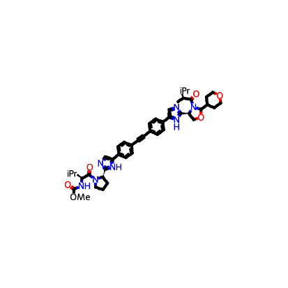 COC(=O)N[C@H](C(=O)N1CCC[C@H]1c1ncc(-c2ccc(C#Cc3ccc(-c4cnc([C@@H]5COC(C6CCOCC6)N5C(=O)[C@@H](C)C(C)C)[nH]4)cc3)cc2)[nH]1)C(C)C